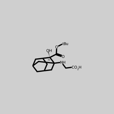 CC(C)(C)OC(=O)[C@]1(O)C2CC3CC(C2)CC1(NCC(=O)O)C3